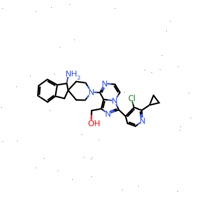 N[C@@H]1c2ccccc2CC12CCN(c1nccn3c(-c4ccnc(C5CC5)c4Cl)nc(CO)c13)CC2